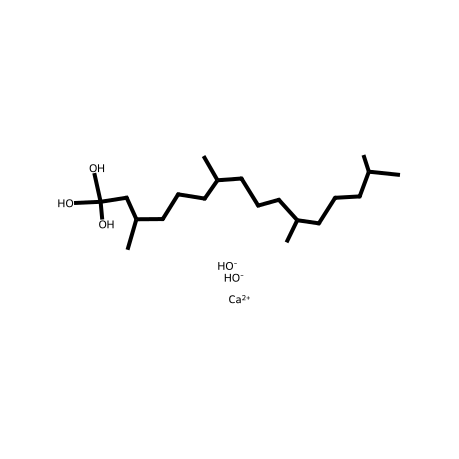 CC(C)CCCC(C)CCCC(C)CCCC(C)CC(O)(O)O.[Ca+2].[OH-].[OH-]